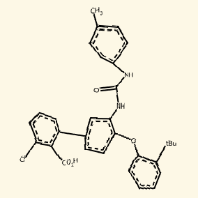 Cc1ccc(NC(=O)Nc2cc(-c3cccc(Cl)c3C(=O)O)ccc2Oc2ccccc2C(C)(C)C)cc1